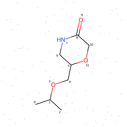 CC(C)OCC1CNC(=O)CO1